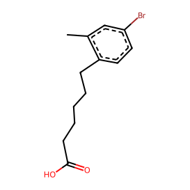 Cc1cc(Br)ccc1CCCCCC(=O)O